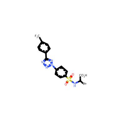 CC(C)C(NS(=O)(=O)c1ccc(-n2nnc(-c3ccc(C(F)(F)F)cc3)n2)cc1)C(=O)O